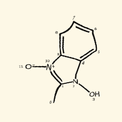 Cc1n(O)c2ccccc2[n+]1[O-]